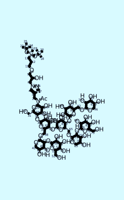 CC(=O)N(Cc1cn(CC(O)COCCC[Si](C)(O[Si](C)(C)C)O[Si](C)(C)C)nn1)[C@@H]1O[C@@H](CO)[C@@H](O[C@@H]2OC(CO[C@H]3OC[C@@H](O)[C@H](O)C3OC3OC(CO)[C@H](O)[C@H](O)[C@@H]3O)[C@@H](O[C@@H]3O[C@@H](CO[C@@H]4OC[C@H](O)C(O)C4O[C@@H]4OC(CO)[C@H](O)[C@H](O)C4O)[C@@H](O[C@@H]4OC(CO[C@H]5OC[C@@H](O)[C@H](O)C5O)[C@@H](O)[C@H](O)C4O)C(O)C3O)[C@H](O)C2O)C(O)C1O